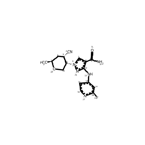 C[C@H]1C[C@H](C#N)[C@H](n2cc(C(N)=O)c(Nc3ccnc(F)c3)n2)CO1